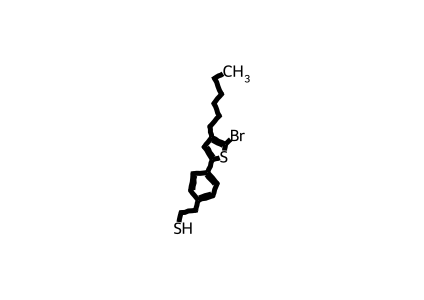 CCCCCCc1cc(-c2ccc(CCS)cc2)sc1Br